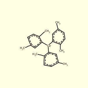 Cc1ccc(C)[c]([Ge]([c]2cc(C)ccc2C)[c]2cc(C)ccc2C)c1